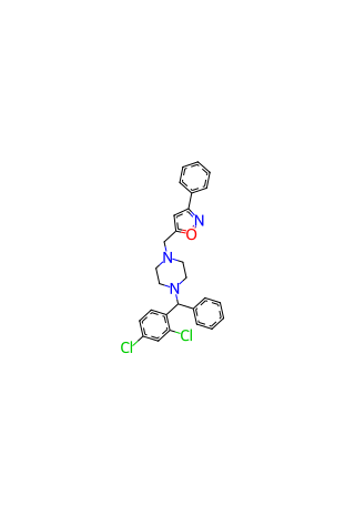 Clc1ccc(C(c2ccccc2)N2CCN(Cc3cc(-c4ccccc4)no3)CC2)c(Cl)c1